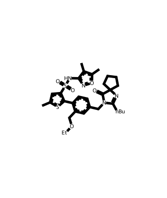 CCCCC1=NC2(CCCC2)C(=O)N1Cc1ccc(-c2sc(C)cc2S(=O)(=O)Nc2noc(C)c2C)c(COCC)c1